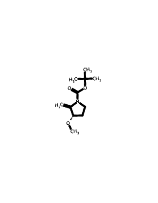 C=C1[C@@H](OC)CCN1C(=O)OC(C)(C)C